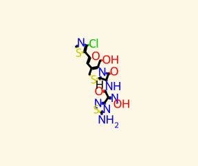 Nc1nc(C(=NO)C(=O)NC2C(=O)N3C(C(=O)O)=C(C=Cc4scnc4Cl)CS[C@@H]23)ns1